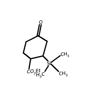 CCOC(=O)C1CCC(=O)CC1[Si](C)(C)C